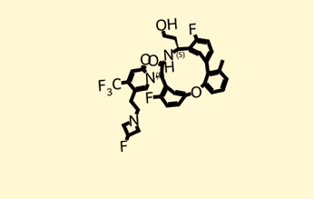 Cc1cccc2c1-c1ccc(F)c(c1)[C@H](CCO)NC(=O)[C@@H](n1cc(CCN3CC(F)C3)c(C(F)(F)F)cc1=O)c1cc(ccc1F)O2